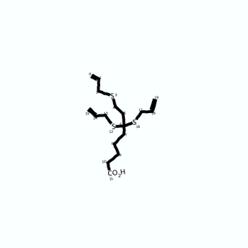 C=CCSCCC(CCCCC(=O)O)(SCC=C)SCC=C